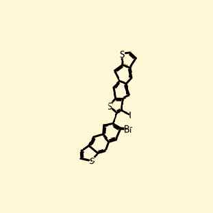 Brc1cc2cc3sccc3cc2cc1-c1sc2cc3cc4sccc4cc3cc2c1I